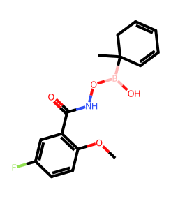 COc1ccc(F)cc1C(=O)NOB(O)C1(C)C=CC=CC1